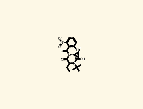 CCC(C(=O)N(C(=O)c1c(Cl)cccc1[N+](=O)[O-])[C@@H]1C[C@@H]1F)N(C(=O)O)C(C)(C)C